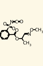 CON=CC(C)OC(=O)c1ccccc1S(=O)(=O)N=C=O